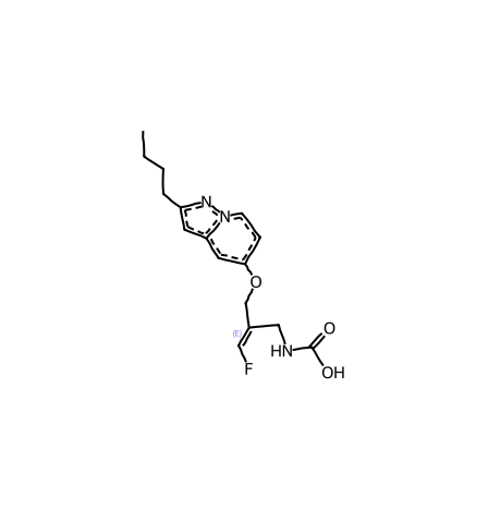 CCCCc1cc2cc(OC/C(=C/F)CNC(=O)O)ccn2n1